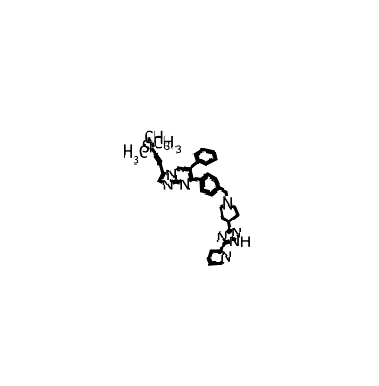 C[Si](C)(C)C#Cc1cnc2nc(-c3ccc(CN4CCC(c5n[nH]c(-c6ccccn6)n5)CC4)cc3)c(-c3ccccc3)cn12